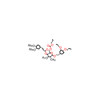 C=CCOC(=O)OC[C@H]1O[C@@H](OCCc2ccc(OCC=C)c(OCC=C)c2)[C@H](OC(C)=O)[C@@H](OC(C)=O)[C@@H]1OC(=O)C=Cc1ccc(OC)c(OC)c1